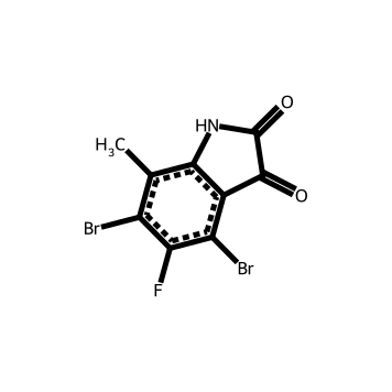 Cc1c(Br)c(F)c(Br)c2c1NC(=O)C2=O